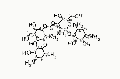 N[C@@H]1[C@H](O[C@@H]2[C@@H](O)[C@H](O)[C@@H](N)C[C@H]2N)O[C@@H](CO)[C@H](O)[C@H]1OCO[C@@H]1[C@@H](N)[C@@H](O[C@H]2[C@H](O)[C@@H](O)[C@H](N)C[C@@H]2N)O[C@H](CO)[C@H]1O